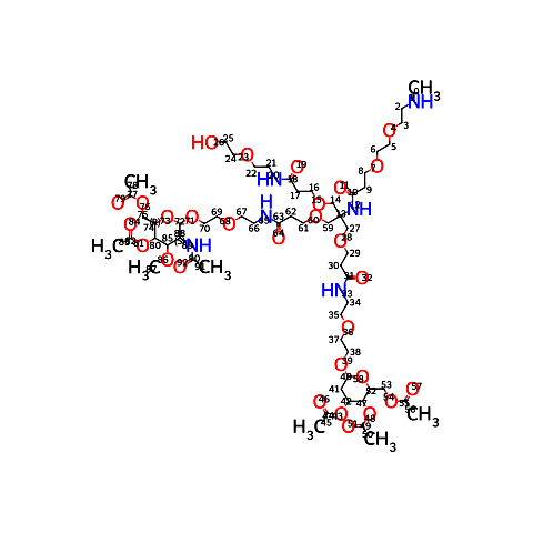 CNCCOCCOCCC(=O)NC(COCCC(=O)NCCOCCO)(COCCC(=O)NCCOCCOC1CC(OC(C)=O)C(OC(C)=O)C(COC(C)=O)O1)COCCC(=O)NCCOCCOC1O[C@H](COC(C)=O)C(OC(C)=O)C(OC)[C@@H]1NC(C)=O